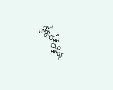 O=C(N=C1NCCCN1)c1ccc(Nc2cccc(C(=O)NC3CC(F)(F)C3)c2)c(C2CC2)c1